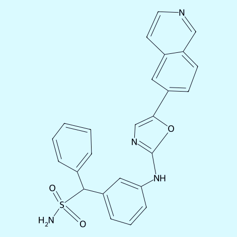 NS(=O)(=O)C(c1ccccc1)c1cccc(Nc2ncc(-c3ccc4cnccc4c3)o2)c1